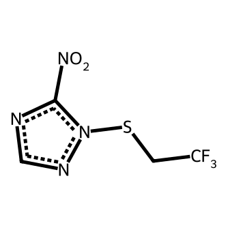 O=[N+]([O-])c1ncnn1SCC(F)(F)F